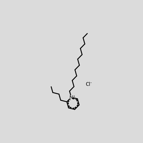 CCCCCCCCCCCC[n+]1ccccc1CCCC.[Cl-]